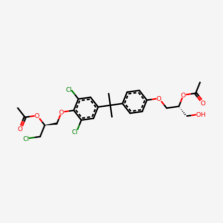 CC(=O)O[C@H](CO)COc1ccc(C(C)(C)c2cc(Cl)c(OC[C@@H](CCl)OC(C)=O)c(Cl)c2)cc1